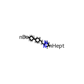 CCCCCCCc1cnc(CCC2CCC(C3CCC(CCCC)CC3)CC2)nc1